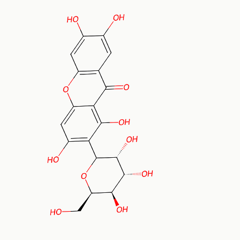 O=c1c2cc(O)c(O)cc2oc2cc(O)c(C3O[C@H](CO)[C@H](O)[C@@H](O)[C@H]3O)c(O)c12